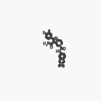 Cc1cc(-c2nn3c(c2C(N)=O)CN(C(=O)Nc2ccc4c(c2)CS(=O)(=O)C4)CC3)ccc1F